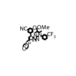 COC(=O)C1=C(C)N(c2cccc(C(F)(F)F)c2)c2n[nH]c(=O)n2[C@@H]1c1ccc(C#N)cc1CCCC[N+]1(C)CCOCC1